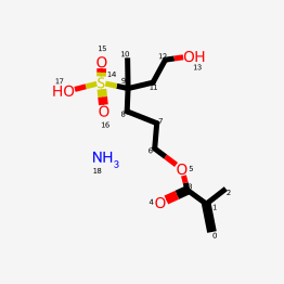 C=C(C)C(=O)OCCCC(C)(CCO)S(=O)(=O)O.N